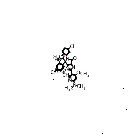 COc1cc(N(C)C)ncc1-c1nc2c(n1C(C)C)C1(C(=O)Nc3cc(Cl)ccc31)N(c1cc(Cl)ccc1C)C2=O